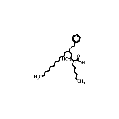 CCCCCCCCCCCC(C[C@H](O)[C@H](CCCCCC)C(=O)O)OCc1ccccc1